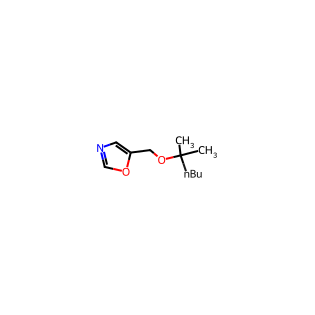 CCCCC(C)(C)OCc1cnco1